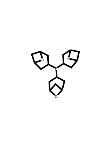 C1C2CC(P(C3CC4CC(C3)O4)C3CC4CC(C3)O4)CC1O2